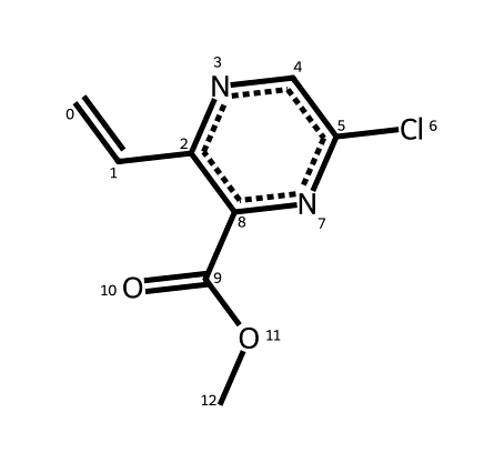 C=Cc1ncc(Cl)nc1C(=O)OC